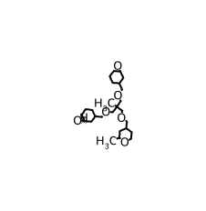 CC1CC(COCC(C)(COCC2CCC3OC3C2)COCC2CCC3O[C@H]3C2)CCO1